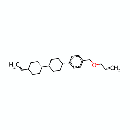 C=CCOCc1ccc([C@H]2CC[C@H]([C@H]3CC[C@H](C=C)CC3)CC2)cc1